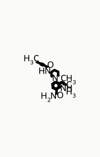 CCC#CC(=O)NC1CCCN(c2ccc(C(N)=O)c3[nH]c(C)c(C)c23)C1